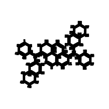 c1ccc(N(C2=c3ccc4ccc(N(c5ccccc5)c5ccc6c(c5)CCCC6)c5ccc(c3c45)CC2)c2ccc3c(c2)CCCC3)cc1